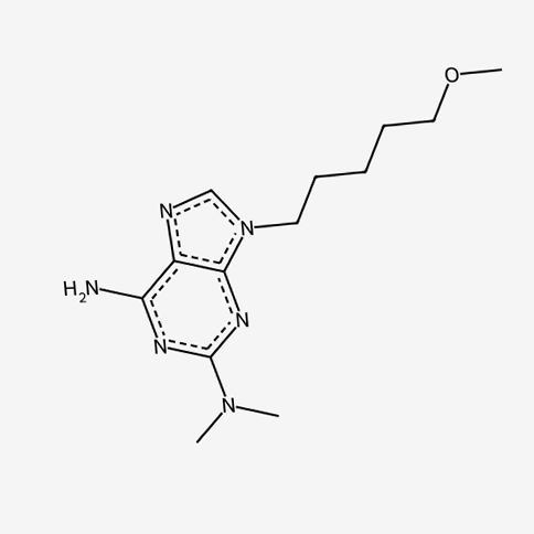 COCCCCCn1cnc2c(N)nc(N(C)C)nc21